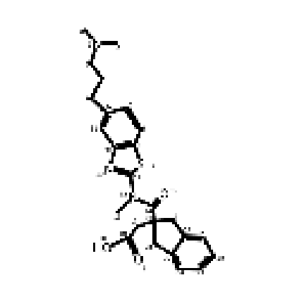 CN(C)CCCc1ccc2sc(N(C)C(=O)C3(CC(=O)O)Cc4ccccc4C3)nc2c1